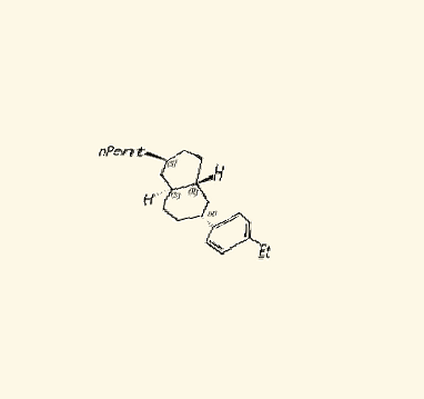 CCCCC[C@H]1CC[C@@H]2C[C@H](c3ccc(CC)cc3)CC[C@H]2C1